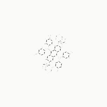 Cc1ccc(N(c2ccc(C(C)C)cc2)c2c3ccc(C45CC6CC(CC(C6)C4)C5)cc3c(N(c3ccc(C(C)C)cc3)c3ccc(C(C)(C)C)cc3)c3ccc(C45CC6CC(CC(C6)C4)C5)cc23)cc1